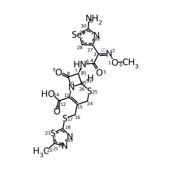 CO/N=C(\C(=O)N[C@@H]1C(=O)N2C(C(=O)O)=C(CSc3nnc(C)s3)CS[C@H]12)c1c[se]c(N)n1